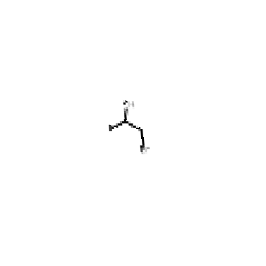 SC(I)CBr